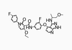 CCOc1ccn(-c2ccc(F)cc2)c(=O)c1C(=O)Nc1ccc(Oc2ccnc3[nH]nc(NC(C)COC)c23)c(F)c1